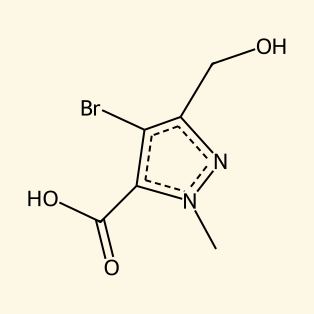 Cn1nc(CO)c(Br)c1C(=O)O